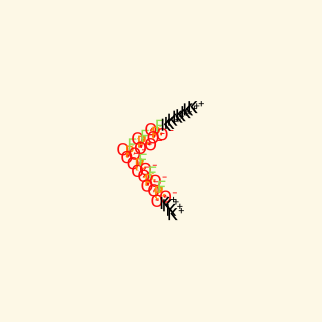 O=P([O-])([O-])F.O=P([O-])([O-])F.O=P([O-])([O-])F.O=P([O-])([O-])F.O=P([O-])([O-])F.O=P([O-])([O-])F.[K+].[K+].[K+].[K+].[K+].[K+].[K+].[K+].[K+].[K+].[K+].[K+]